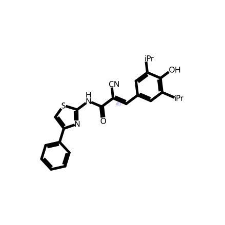 CC(C)c1cc(/C=C(\C#N)C(=O)Nc2nc(-c3ccccc3)cs2)cc(C(C)C)c1O